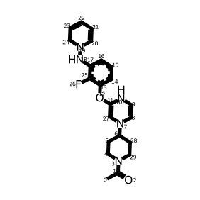 CC(=O)N1CCC(N2C=CNC(Oc3cccc(NN4C=CC=CC4)c3F)=C2)CC1